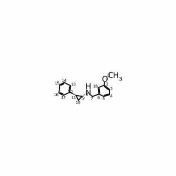 COc1cccc(CN[C@@H]2C[C@H]2c2ccccc2)c1